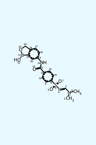 CN(C)/C=N/S(=O)(=O)c1ccc(C(=O)Nc2ccc3c(c2)B(O)OC3)cc1